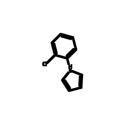 Clc1ccccc1[SH]1C=CC=C1